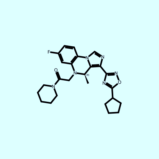 C[C@@H]1c2c(-c3noc(C4CCCC4)n3)ncn2-c2ccc(F)cc2N1CC(=O)N1CCCCC1